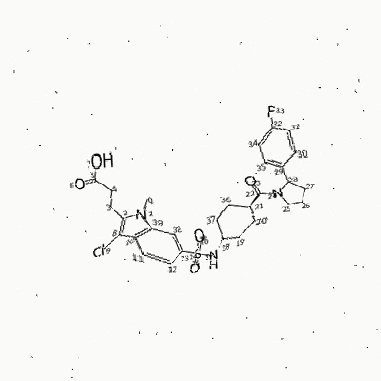 Cn1c(CCC(=O)O)c(Cl)c2ccc(S(=O)(=O)N[C@H]3CC[C@H](C(=O)N4CCCC4c4ccc(F)cc4)CC3)cc21